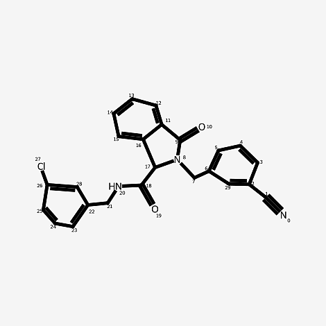 N#Cc1cccc(CN2C(=O)c3ccccc3C2C(=O)NCc2cccc(Cl)c2)c1